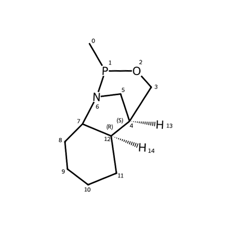 CP1OC[C@@H]2CN1C1CCCC[C@@H]12